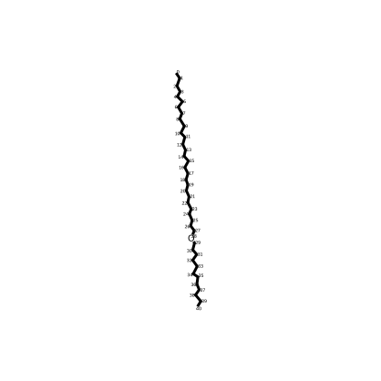 CCCCCCCCCCCCCCCCCCCCCCCCCCCCOCCCCCCCCCCCC